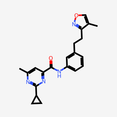 Cc1cc(C(=O)Nc2cccc(CCc3nocc3C)c2)nc(C2CC2)n1